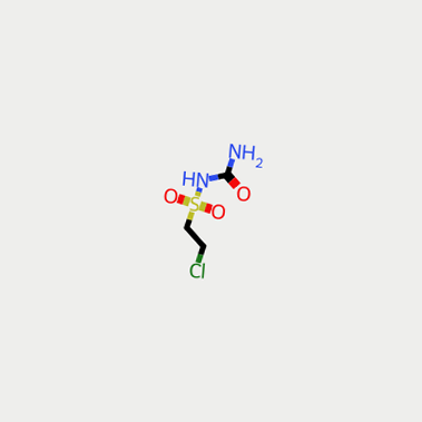 NC(=O)NS(=O)(=O)CCCl